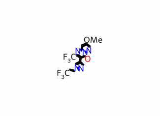 COc1cnn2c(=O)c(-c3cnn(CCC(F)(F)F)c3)c(C(F)(F)F)nc2c1